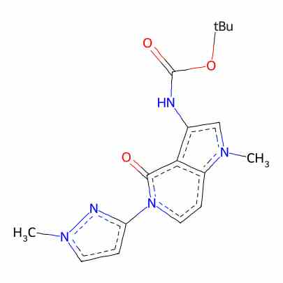 Cn1ccc(-n2ccc3c(c(NC(=O)OC(C)(C)C)cn3C)c2=O)n1